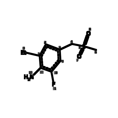 CCc1cc(CS(C)(=O)=O)cc(F)c1N